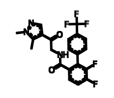 Cc1c(C(=O)CNC(=O)c2ccc(F)c(F)c2-c2ccc(C(F)(F)F)cc2)cnn1C